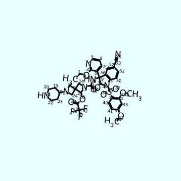 CCOc1ncccc1C1(NC(=O)N2CC3(CN(C4CCNCC4)C3)C2OC(=O)C(F)(F)F)C(=O)N(S(=O)(=O)c2ccc(OC)cc2OC)c2ccc(C#N)cc21